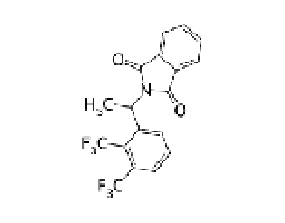 CC(c1cccc(C(F)(F)F)c1C(F)(F)F)N1C(=O)c2ccccc2C1=O